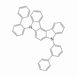 c1ccc(-c2cccc(-n3c4ccccc4c4c5c6ccccc6n(-c6ccccc6-c6ccccc6)c5ccc43)c2)cc1